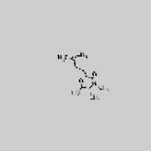 CC(C(=O)O)N(C)C(=O)/C=C/CN(C)C